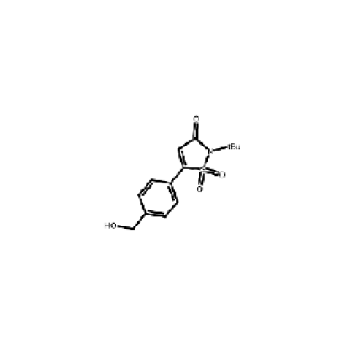 CC(C)(C)N1C(=O)C=C(c2ccc(CO)cc2)S1(=O)=O